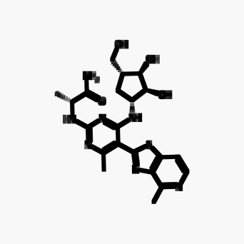 Cc1nc(N[C@H](C)C(N)=O)nc(N[C@@H]2C[C@H](CO)[C@@H](O)[C@H]2O)c1-c1nc2c(C)nccc2s1